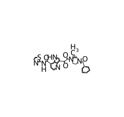 C[C@@H]1CN(C(=O)c2ccccc2)CCN1C(=O)C(=O)c1c[nH]c2c(C(=O)Nc3nccs3)ccnc12